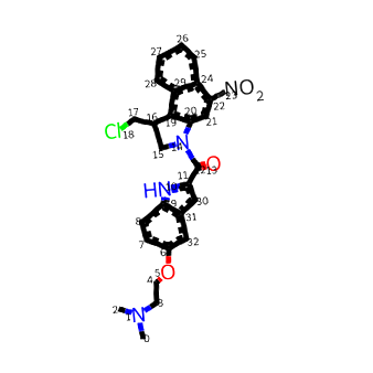 CN(C)CCOc1ccc2[nH]c(C(=O)N3CC(CCl)c4c3cc([N+](=O)[O-])c3ccccc43)cc2c1